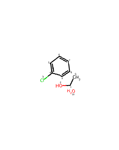 CCO.Clc1ccccc1.O